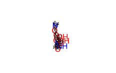 CCN(CC)CCOCCOC[C@H]1O[C@@H](n2cc(C)c(=O)[nH]c2=O)[C@H](O)[C@@H]1O